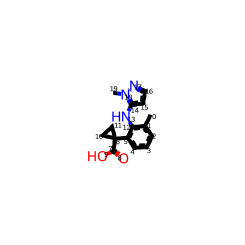 Cc1cccc(C2(C(=O)O)CC2)c1Nc1ccnn1C